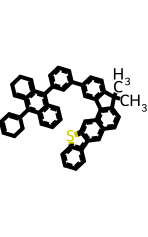 CC1(C)c2ccc(-c3cccc(-c4c5c(c(C6=CC=CCC6)c6ccccc46)=CCCC=5)c3)cc2-c2c1ccc1cc3c(cc21)sc1ccccc13